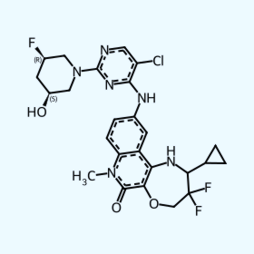 Cn1c(=O)c2c(c3cc(Nc4nc(N5C[C@@H](O)C[C@@H](F)C5)ncc4Cl)ccc31)NC(C1CC1)C(F)(F)CO2